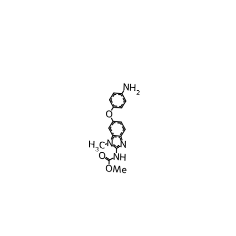 COC(=O)Nc1nc2ccc(Oc3ccc(N)cc3)cc2n1C